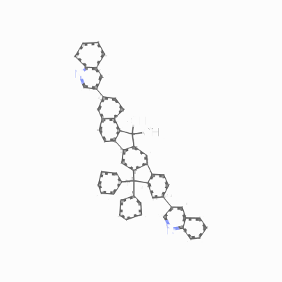 CC1(C)c2cc3c(cc2-c2ccc4cc(-c5cnc6ccccc6c5)ccc4c21)C(c1ccccc1)(c1ccccc1)c1cc(-c2cnc4ccccc4c2)ccc1-3